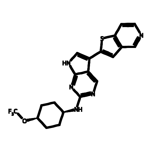 FC(F)(F)O[C@H]1CC[C@@H](Nc2ncc3c(-c4cc5cnccc5s4)c[nH]c3n2)CC1